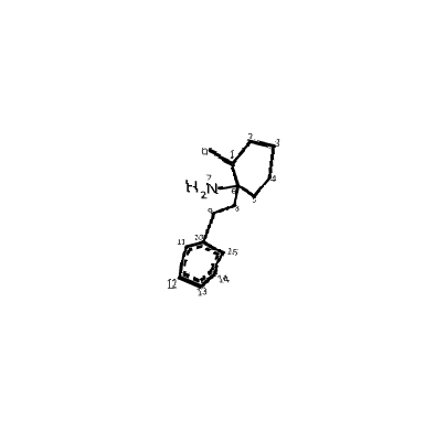 CC1CCCCC1(N)CCc1ccccc1